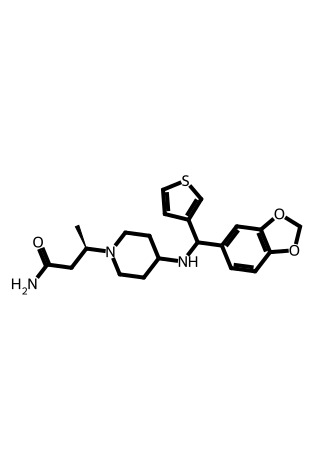 C[C@H](CC(N)=O)N1CCC(NC(c2ccsc2)c2ccc3c(c2)OCO3)CC1